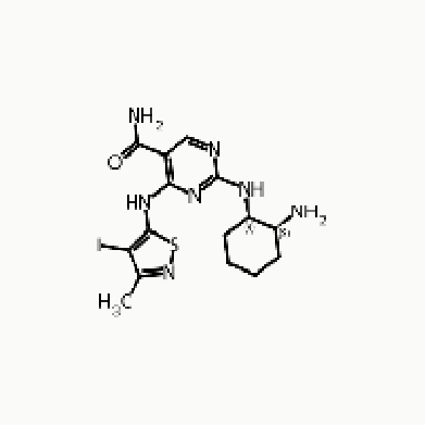 Cc1nsc(Nc2nc(N[C@@H]3CCCC[C@@H]3N)ncc2C(N)=O)c1I